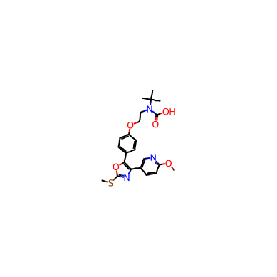 COc1ccc(-c2nc(SC)oc2-c2ccc(OCCN(C(=O)O)C(C)(C)C)cc2)cn1